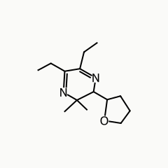 CCC1=NC(C2CCCO2)C(C)(C)N=C1CC